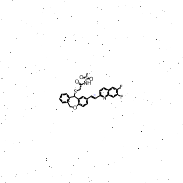 CS(=O)(=O)NC(=O)CSC1c2ccccc2COc2ccc(/C=C/c3ccc4cc(F)c(F)cc4n3)cc21